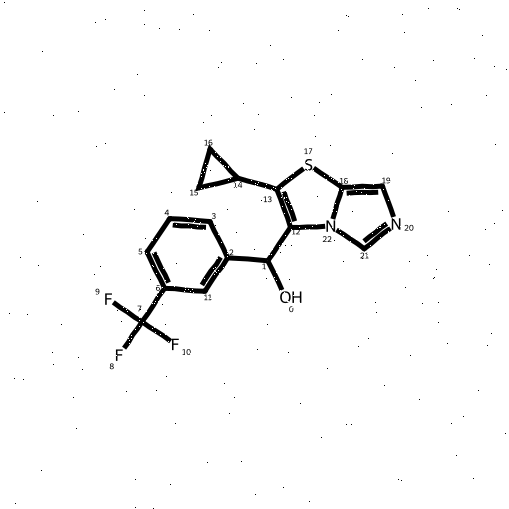 OC(c1cccc(C(F)(F)F)c1)c1c(C2CC2)sc2cncn12